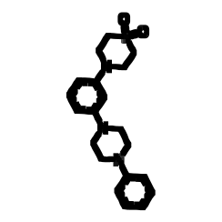 O=S1(=O)CCN(c2cccc(N3CCN(c4ccccc4)CC3)c2)CC1